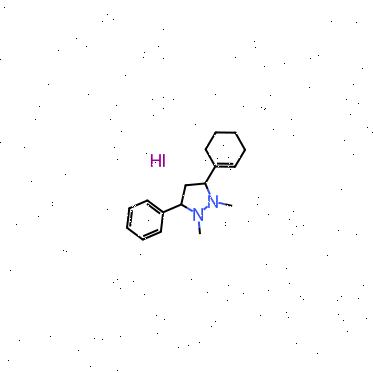 CN1C(C2=CCCCC2)CC(c2ccccc2)N1C.I